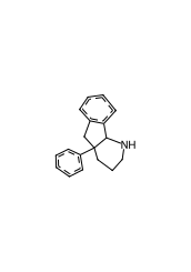 c1ccc(C23CCCNC2c2ccccc2C3)cc1